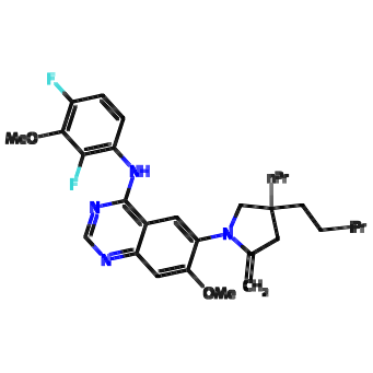 C=C1CC(CCC)(CCC(C)C)CN1c1cc2c(Nc3ccc(F)c(OC)c3F)ncnc2cc1OC